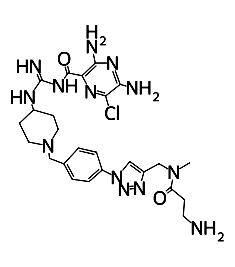 CN(Cc1cn(-c2ccc(CN3CCC(NC(=N)NC(=O)c4nc(Cl)c(N)nc4N)CC3)cc2)nn1)C(=O)CCN